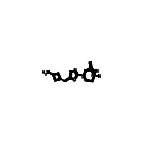 N[C@H]1C[C@H](Cc2nnc([C@@H]3CC[C@@H]4CN3C(=O)N4)o2)C1